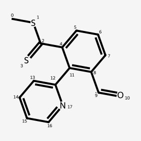 CSC(=S)c1cccc([C]=O)c1-c1ccccn1